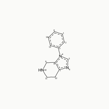 c1ccc(-n2cnc3c2CNCC3)cc1